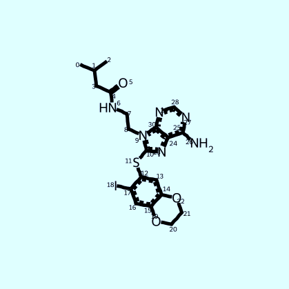 CC(C)CC(=O)NCCn1c(Sc2cc3c(cc2I)OCCO3)nc2c(N)ncnc21